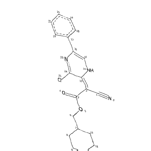 N#CC(C(=O)OCC1CCCCC1)=C1NC=C(c2ccccc2)N=C1Cl